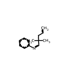 C=CCC(C)(C)/C=N\c1ccccc1